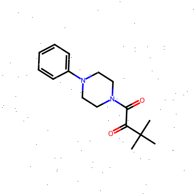 CC(C)(C)C(=O)C(=O)N1CCN(c2ccccc2)CC1